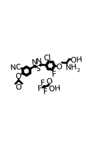 N#Cc1cc(-c2nnc(-c3cc(F)c(OC[C@H](N)CO)cc3Cl)s2)ccc1OC1COC1.O=C(O)C(F)(F)F